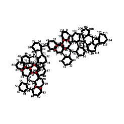 c1ccc(-c2cccc(-c3ccccc3N(c3cccc(-c4ccc(-c5cccc6c5c5cccc7c5n6-c5ccccc5C75c6ccccc6-c6c(N(c7ccccc7-c7ccccc7)c7ccccc7-c7cccc(-c8ccccc8)c7)cccc65)cc4)c3)c3cccc4c3-c3ccccc3C43c4ccccc4-n4c5ccccc5c5cccc3c54)c2)cc1